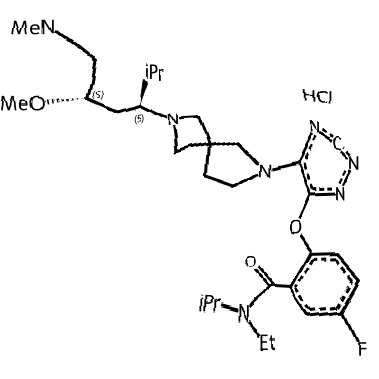 CCN(C(=O)c1cc(F)ccc1Oc1nncnc1N1CCC2(C1)CN([C@@H](C[C@@H](CNC)OC)C(C)C)C2)C(C)C.Cl